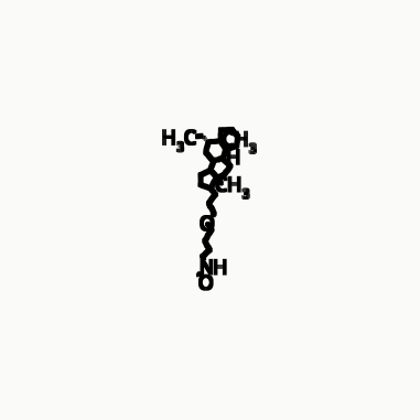 CC[C@H]1CC2C3CCC(CCCOCCCCNC=O)C3(C)CC[C@@H]2C2(C)CCCCC12